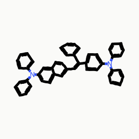 C(=C(/c1ccccc1)c1ccc(N(c2ccccc2)c2ccccc2)cc1)/c1ccc2cc(N(c3ccccc3)c3ccccc3)ccc2c1